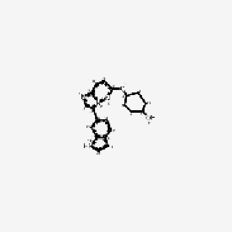 OC1CCC(Oc2ccc3ncc(-c4ccc5cc[nH]c5c4)n3n2)CC1